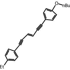 CCCCOc1ccc(C#C/C=C/C#Cc2ccc(CC)cc2)cc1